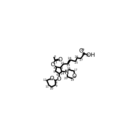 CC(=O)OC1CC(OC2CCCCO2)C(N2CCOCC2)C1C/C=C/CCCC(=O)O